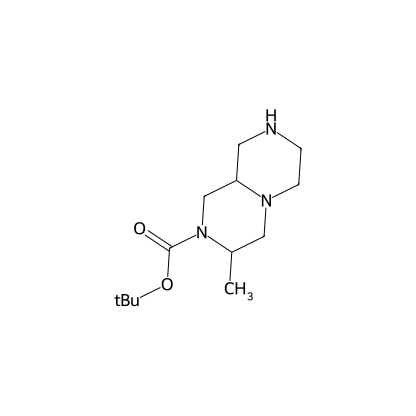 CC1CN2CCNCC2CN1C(=O)OC(C)(C)C